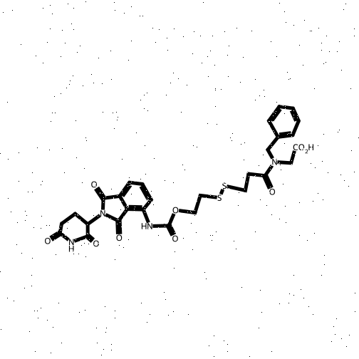 O=C(O)CN(Cc1ccccc1)C(=O)CCSSCCOC(=O)Nc1cccc2c1C(=O)N(C1CCC(=O)NC1=O)C2=O